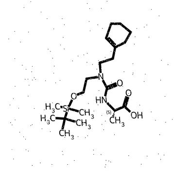 C[C@H](NC(=O)N(CCO[Si](C)(C)C(C)(C)C)CCC1=CCCCC1)C(=O)O